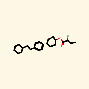 CC[C@H](F)C(=O)O[C@H]1CC[C@H](c2ccc(CCC3CC[CH]CC3)cc2)CC1